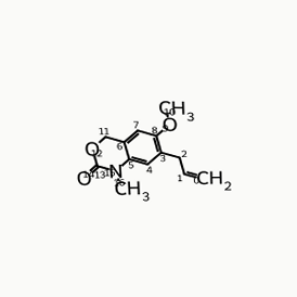 C=CCc1cc2c(cc1OC)COC(=O)N2C